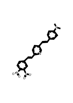 CN(C)c1ccc(/C=C/c2ccc(/C=C/c3ccc([N+](=O)[O-])c([N+](=O)[O-])c3)nc2)cc1